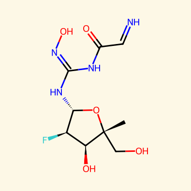 C[C@]1(CO)O[C@@H](N/C(=N/O)NC(=O)C=N)[C@H](F)[C@@H]1O